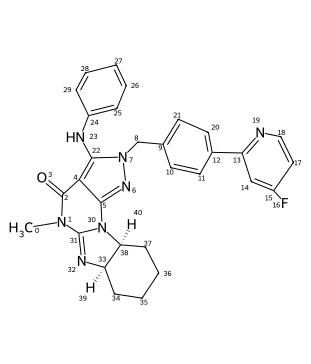 CN1C(=O)c2c(nn(Cc3ccc(-c4cc(F)ccn4)cc3)c2Nc2ccccc2)N2C1=N[C@@H]1CCCC[C@@H]12